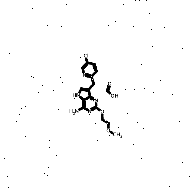 COCCOc1nc(N)c2[nH]cc(Cc3ccc(Cl)cn3)c2n1.O=CO